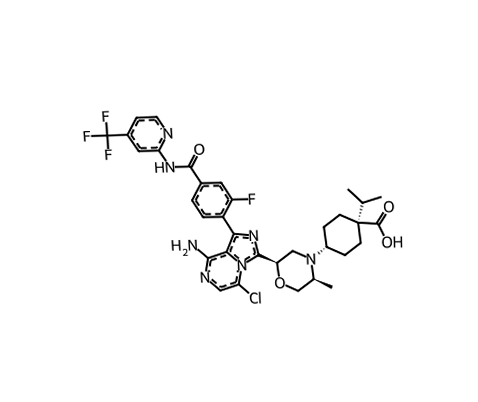 CC(C)[C@]1(C(=O)O)CC[C@H](N2C[C@H](c3nc(-c4ccc(C(=O)Nc5cc(C(F)(F)F)ccn5)cc4F)c4c(N)ncc(Cl)n34)OC[C@@H]2C)CC1